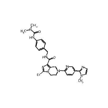 CCc1nc(C(=O)NCc2ccc(NC(=O)N(C)C)cc2)c2n1CCN(c1ccc(-c3nccn3C)cn1)C2